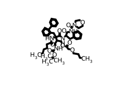 CCCCCC(=O)NC(Cc1ccccc1-c1ccccc1)(C(=O)NC(Cc1ccccc1)C(=O)NC(=O)N1CCOCC1)C(CNC(=O)OC(C)(C)C)COC(=O)COCCCC